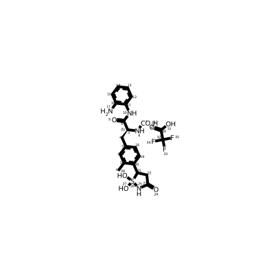 Cc1cc(C[C@H](NC(=O)O)C(=O)Nc2ccccc2N)ccc1C1CC(=O)NS1(O)O.O=C(O)C(F)(F)F